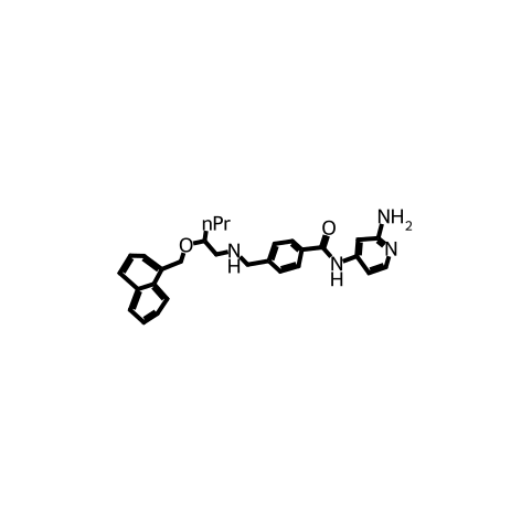 CCCC(CNCc1ccc(C(=O)Nc2ccnc(N)c2)cc1)OCc1cccc2ccccc12